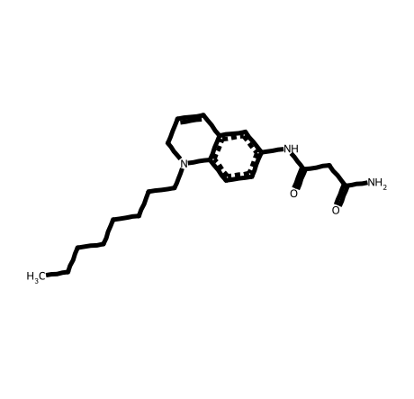 CCCCCCCCN1CC=Cc2cc(NC(=O)CC(N)=O)ccc21